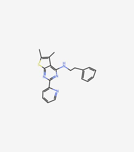 Cc1sc2nc(-c3ccccn3)nc(NCCc3ccccc3)c2c1C